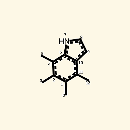 Cc1c(C)c(C)c2[nH]ccc2c1C